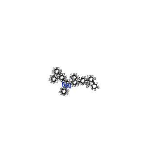 CC1(C)c2ccccc2-c2cccc(-c3ccc(-c4ccc(-c5cc(-c6ccc(-c7ccccc7)c(-c7ccccc7)c6)nc(-c6ccccc6)n5)c5ccccc45)cc3)c21